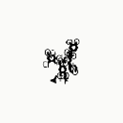 COc1ccc(S(=O)(=O)N(CCN2CCOCC2)CC(=O)O[C@@H](Cc2c(Cl)c[n+]([O-])cc2Cl)c2ccc(OC(F)F)c(OCC3CC3)c2)cc1OC